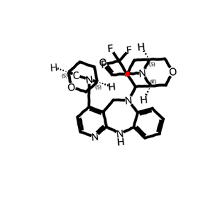 O=CC1C[C@H]2COC[C@@H](C1N1Cc3c(N4C[C@@H]5CC[C@H]4CO5)ccnc3Nc3ccccc31)N2CC(F)(F)F